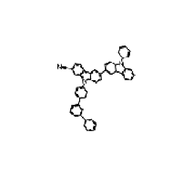 N#Cc1ccc2c3cc(C4=CC5c6ccccc6N(C6C=CC=CC6)C5C=C4)ccc3n(-c3ccc(-c4cccc(-c5ccccc5)c4)cc3)c2c1